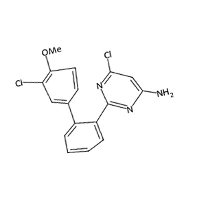 COc1ccc(-c2ccccc2-c2nc(N)cc(Cl)n2)cc1Cl